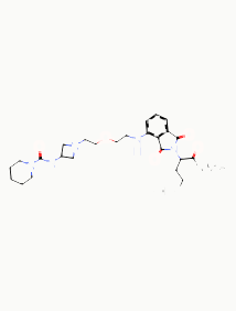 CNC(=O)C(CCC=O)N1C(=O)c2cccc(NCCOCCN3CC(NC(=O)N4CCCCC4)C3)c2C1=O